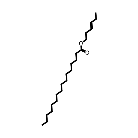 CCC=CCCOC(=O)CCCCCCCCCCCCCCC